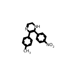 Cc1ccc(C2=C(c3ccc([N+](=O)[O-])cc3)NCC=N2)cc1